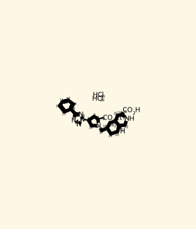 CCOC(=O)[C@@H]1C[C@H](n2nnc(-c3ccccc3)n2)CN1CC1CC[C@H]2CNC(C(=O)O)CC2C1.Cl.Cl